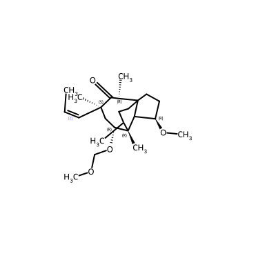 C/C=C\[C@]1(C)C[C@@H](OCOC)[C@]2(C)C(C)CCC3(CC[C@@H](OC)C32)[C@@H](C)C1=O